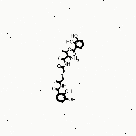 CC(OC(=O)c1cccc(O)c1O)C(N)C(=O)NC(=O)CSCC(=O)NC(=O)c1cccc(O)c1O